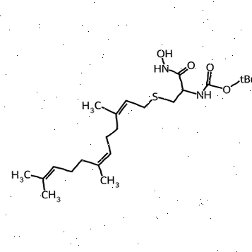 CC(C)=CCCC(C)=CCCC(C)=CCSCC(NC(=O)OC(C)(C)C)C(=O)NO